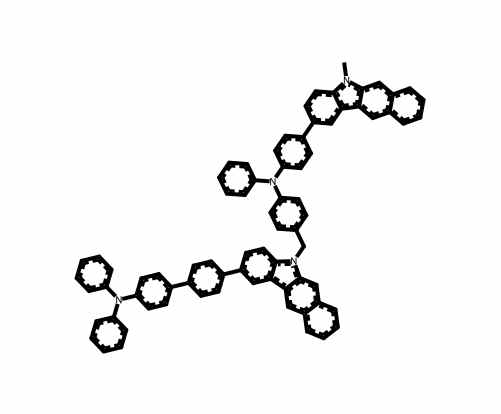 Cn1c2ccc(-c3ccc(N(c4ccccc4)c4ccc(Cn5c6ccc(-c7ccc(-c8ccc(N(c9ccccc9)c9ccccc9)cc8)cc7)cc6c6cc7ccccc7cc65)cc4)cc3)cc2c2cc3ccccc3cc21